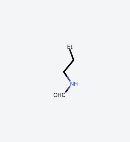 [CH2]CCCN[C]=O